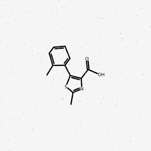 Cc1nc(C(=O)O)c(-c2ccccc2C)s1